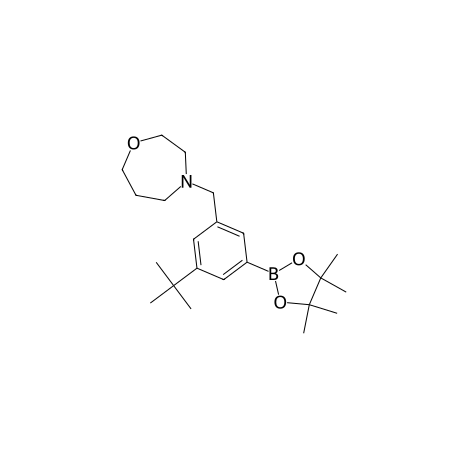 CC(C)(C)c1cc(CN2CCCOCC2)cc(B2OC(C)(C)C(C)(C)O2)c1